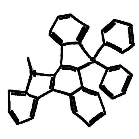 Cn1c2ccccc2c2c3ccccc3c3c(c21)-c1ccccc1[Si]3(c1ccccc1)c1ccccc1